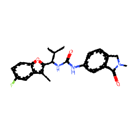 Cc1c(C(NC(=O)Nc2ccc3c(c2)C(=O)N(C)C3)C(C)C)oc2ccc(F)cc12